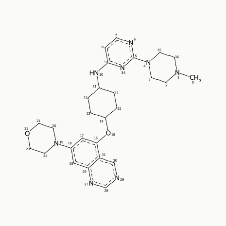 CN1CCN(c2nccc(NC3CCC(Oc4cc(N5CCOCC5)cc5ncncc45)CC3)n2)CC1